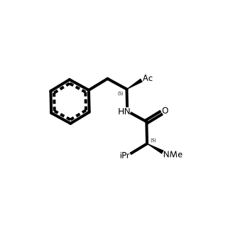 CN[C@H](C(=O)N[C@@H](Cc1ccccc1)C(C)=O)C(C)C